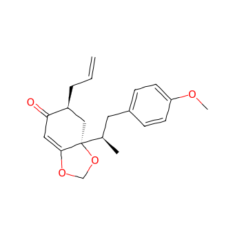 C=CC[C@H]1C[C@]2([C@H](C)Cc3ccc(OC)cc3)OCOC2=CC1=O